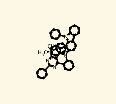 C[Si]1(C)c2ccccc2-c2c(-c3ccccc3-n3c4ccccc4c4c3ccc3c5ccccc5n(-c5ccccc5)c34)nc(-c3ccccc3)nc21